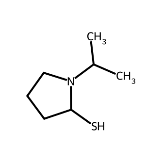 CC(C)N1CCCC1S